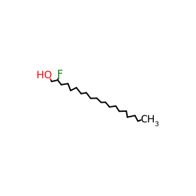 CCCCCCCCCCCCCCCCCCC(F)CO